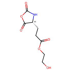 O=C(CC[C@H]1NC(=O)OC1=O)OCCO